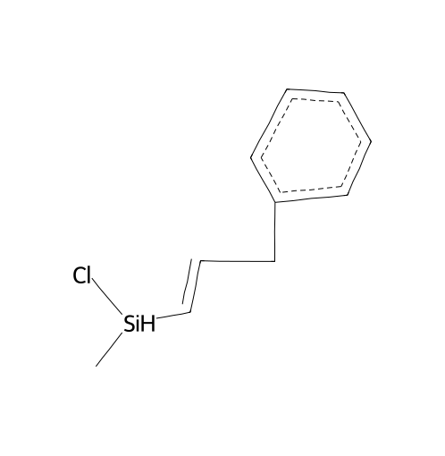 C[SiH](Cl)C=CCc1ccccc1